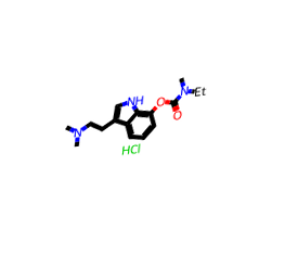 CCN(C)C(=O)Oc1cccc2c(CCN(C)C)c[nH]c12.Cl